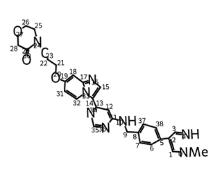 CN/C=C(\C=N)c1ccc(CNc2cc(-c3cnc4cc(OCCCN5CCOCC5=O)ccn34)ncn2)cc1